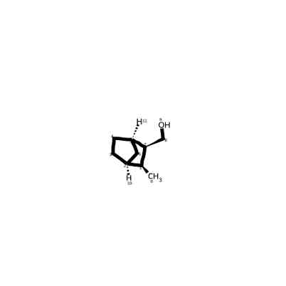 C[C@H]1[C@H]2CC[C@H](C2)[C@H]1CO